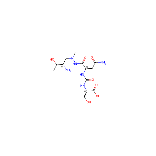 CC(O)[C@@H](N)CN(C)NC(=O)[C@@H](CC(N)=O)NC(=O)N[C@H](CO)C(=O)O